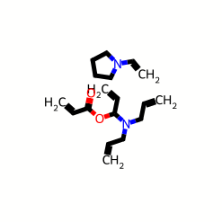 C=CCN(CC=C)C(C=C)OC(=O)C=C.C=CN1CCCC1